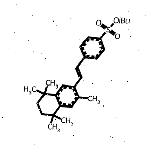 Cc1cc2c(cc1C=Cc1ccc(S(=O)(=O)OCC(C)C)cc1)C(C)(C)CCC2(C)C